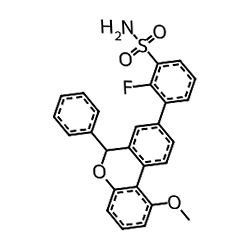 COc1cccc2c1-c1ccc(-c3cccc(S(N)(=O)=O)c3F)cc1C(c1ccccc1)O2